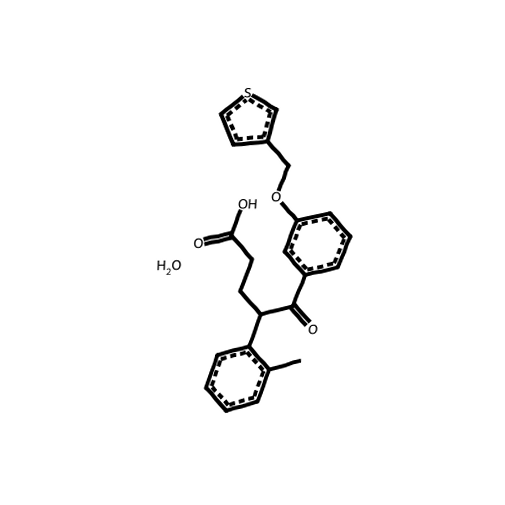 Cc1ccccc1C(CCC(=O)O)C(=O)c1cccc(OCc2ccsc2)c1.O